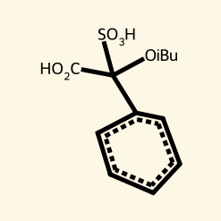 CC(C)COC(C(=O)O)(c1ccccc1)S(=O)(=O)O